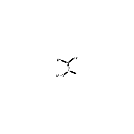 CO[SiH](C)N(C(C)C)C(C)C